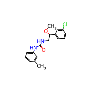 COC(CNC(=O)Nc1cccc(C)c1)c1cccc(Cl)c1